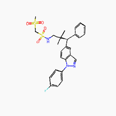 CC(C)(CNS(=O)(=O)CS(C)(=O)=O)[C@@H](c1ccccc1)c1ccc2c(cnn2-c2ccc(F)cc2)c1